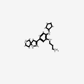 CCCCOc1cc(C2=NOC3(CCOC3)C2)ccc1OC1CCCC1